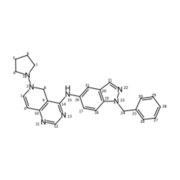 C1=CN(N2CCCC2)Cc2c1ncnc2Nc1ccc2c(cnn2Cc2ccccc2)c1